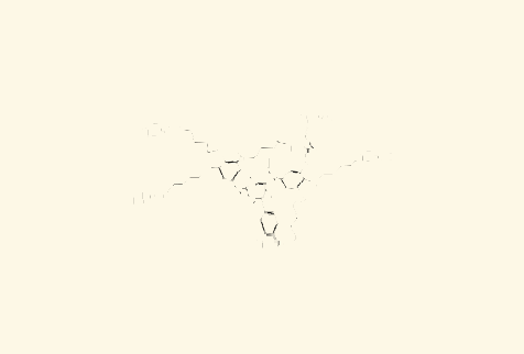 [CH2]c1ccc(-c2nc(Nc3cc(SCCCCCCCCCCCCCC)c(SCCCCCCCCCCCCCC)c(SCCCCCCCCCCCCCC)c3)nc(Nc3cc(SCCCCCCCCCCCCCC)c(SCCCCCCCCCCCCCC)c(SCCCCCCCCCCCCCC)c3)n2)cc1